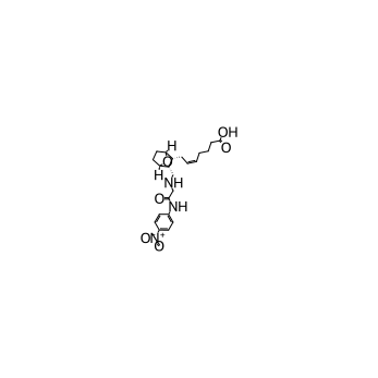 O=C(O)CCC/C=C\C[C@@H]1[C@H](CNCC(=O)Nc2ccc([N+](=O)[O-])cc2)[C@@H]2CC[C@H]1O2